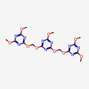 COc1nc(OC)nc(OCOc2nc(OC)nc(OCOc3nc(OC)nc(OC)n3)n2)n1